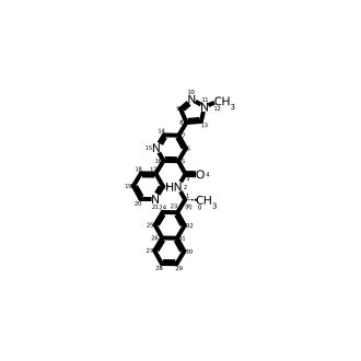 C[C@@H](NC(=O)c1cc(-c2cnn(C)c2)cnc1-c1cccnc1)c1ccc2ccccc2c1